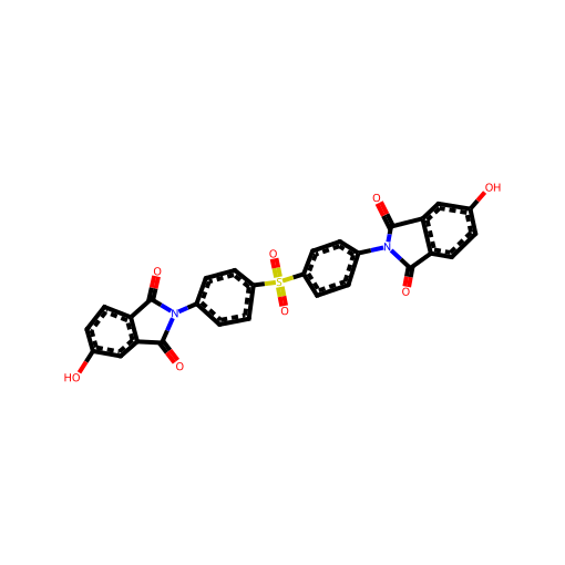 O=C1c2ccc(O)cc2C(=O)N1c1ccc(S(=O)(=O)c2ccc(N3C(=O)c4ccc(O)cc4C3=O)cc2)cc1